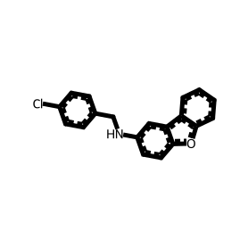 Clc1ccc(CNc2ccc3oc4ccccc4c3c2)cc1